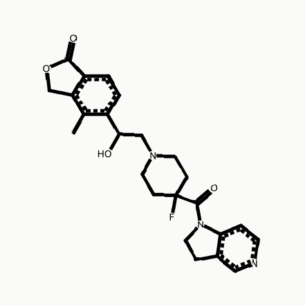 Cc1c(C(O)CN2CCC(F)(C(=O)N3CCc4cnccc43)CC2)ccc2c1COC2=O